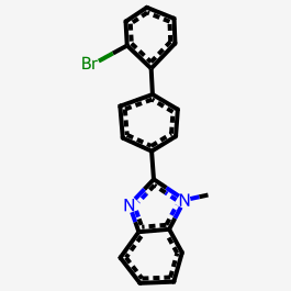 Cn1c(-c2ccc(-c3ccccc3Br)cc2)nc2ccccc21